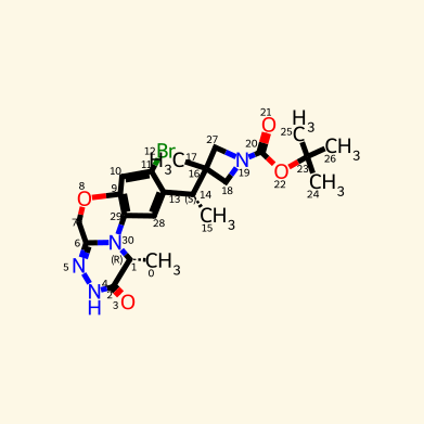 C[C@@H]1C(=O)NN=C2COc3cc(Br)c([C@@H](C)C4(C)CN(C(=O)OC(C)(C)C)C4)cc3N21